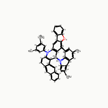 CC(C)(C)c1cc(N2c3cc4c(oc5ccccc54)c4c3B(c3c2ccc2cc5ccccc5cc32)n2c3ccc(C(C)(C)C)cc3c3cc(C(C)(C)C)cc-4c32)cc(C(C)(C)C)c1